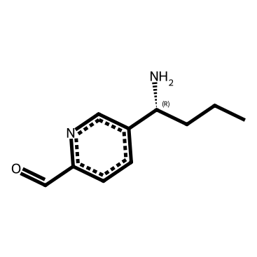 CCC[C@@H](N)c1ccc(C=O)nc1